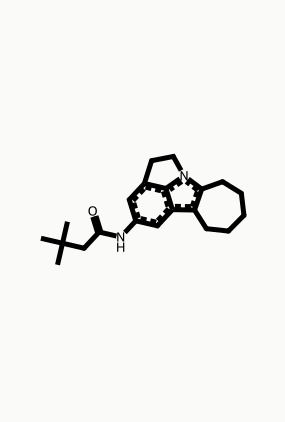 CC(C)(C)CC(=O)Nc1cc2c3c(c1)c1c(n3CC2)CCCCC1